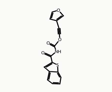 O=C(NC(=O)c1cc2ccccc2s1)OC#Cc1ccoc1